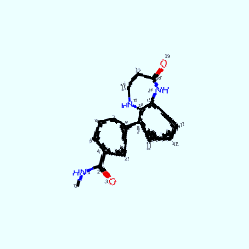 CNC(=O)c1cccc(-c2cccc3c2NCCC(=O)N3)c1